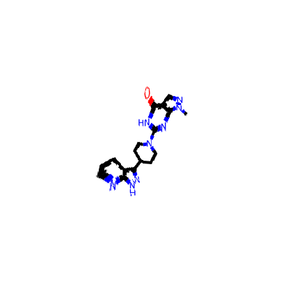 Cn1ncc2c(=O)[nH]c(N3CCC(c4n[nH]c5ncccc45)CC3)nc21